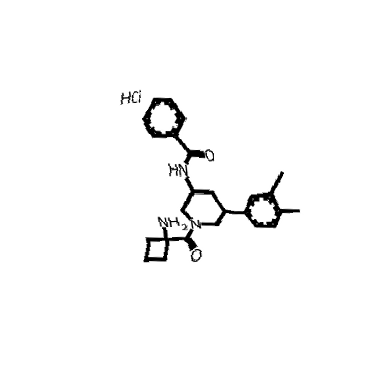 Cc1ccc(C2CC(NC(=O)c3ccccc3)CN(C(=O)C3(N)CCC3)C2)cc1C.Cl